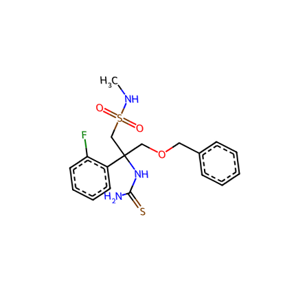 CNS(=O)(=O)CC(COCc1ccccc1)(NC(N)=S)c1ccccc1F